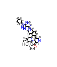 Cc1ncc([C@H](OC(C)(C)C)C(=O)O)c(N2CCC(C)(C)CC2)c1-c1ccc2c(c1)CCN(c1ncnc3c1nnn3-c1ccccc1)C2